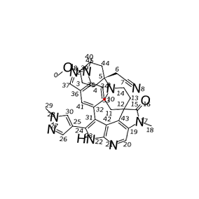 CO[C@H]1CC[C@@](CC#N)(N2CCC3(CC2)C(=O)N(C)c2cnc4[nH]c(-c5cnn(C)c5)c(-c5ccc6c(cnn6C)c5)c4c23)CC1